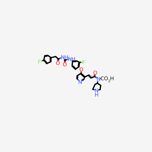 O=C(Cc1ccc(F)cc1)NC(=O)Nc1ccc(Oc2ccncc2/C=C/C(=O)N(C(=O)O)C2CCNCC2)c(F)c1